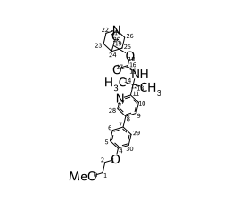 COCCOc1ccc(-c2ccc(C(C)(C)NC(=O)OC3CN4CCC3CC4)nc2)cc1